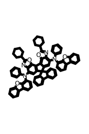 c1ccc(N(c2cc3c(c4oc(C5CCCCC5)nc24)-c2c(cc(N(c4ccccc4)c4cccc5c4oc4ccccc45)c4nc(C5CCCCC5)oc24)C32c3ccccc3-c3ccccc32)c2cccc3c2oc2ccccc23)cc1